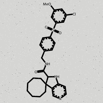 COc1cc(Cl)cc(S(=O)(=O)c2ccc(CNC(=O)C3Nc4ccncc4C34CCCCCCC4)cc2)c1